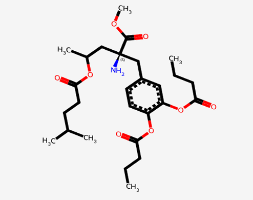 CCCC(=O)Oc1ccc(C[C@](N)(CC(C)OC(=O)CCC(C)C)C(=O)OC)cc1OC(=O)CCC